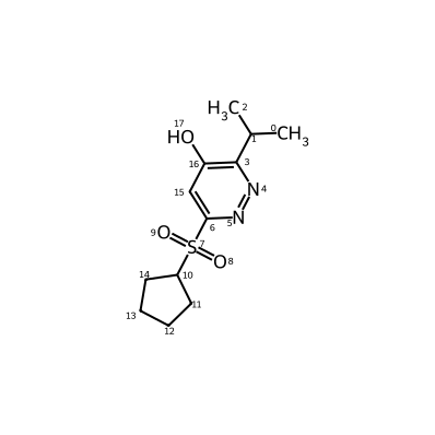 CC(C)c1nnc(S(=O)(=O)C2CCCC2)cc1O